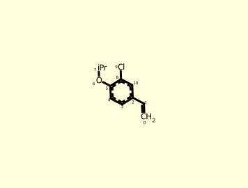 C=Cc1ccc(OC(C)C)c(Cl)c1